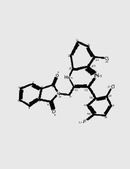 O=C1c2ccccc2C(=O)N1CC1=C(c2cc(F)ccc2Cl)N=C2C(Cl)=CC=CC2N1